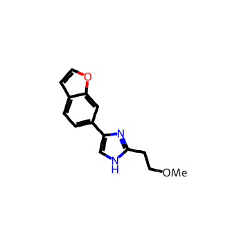 COCCc1nc(-c2ccc3ccoc3c2)c[nH]1